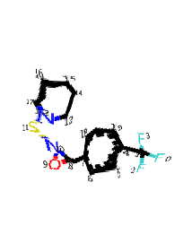 FC(F)(F)c1ccc(C2ON2SN2CCCCC2)cc1